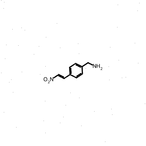 NCc1ccc(C=C[N+](=O)[O-])cc1